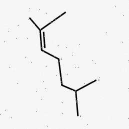 [CH2]C([CH2])C[CH]C=C(C)C